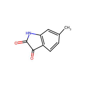 Cc1ccc2c(c1)NC(=O)C2=O